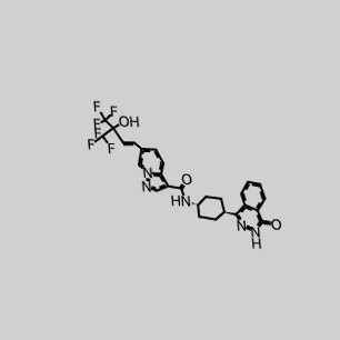 O=C(N[C@H]1CC[C@H](c2n[nH]c(=O)c3ccccc32)CC1)c1cnn2cc(/C=C/C(O)(C(F)(F)F)C(F)(F)F)ccc12